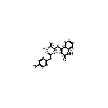 O=C(Cc1ccc(Cl)cc1)NC(Cc1cc(=O)[nH]c2ccccc12)C(=O)O